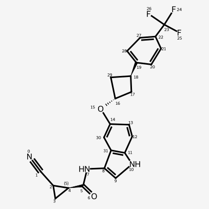 N#CC1C[C@@H]1C(=O)Nc1c[nH]c2ccc(O[C@H]3C[C@H](c4ccc(C(F)(F)F)cc4)C3)cc12